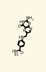 CCNC(=O)c1ccc(NCc2cnc3nc(N)[nH]c(=O)c3n2)cc1